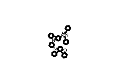 c1ccc(-c2nc(-c3ccccc3)n(-c3ccc4c(c3)c3ccccc3n4-c3cccc(-n4c5ccccc5c5c6c(ccc54)oc4ccccc46)c3)n2)cc1